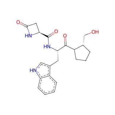 O=C1C[C@@H](C(=O)N[C@@H](Cc2c[nH]c3ccccc23)C(=O)C2CCC[C@H]2CO)N1